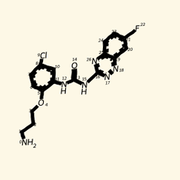 NCCCOc1ccc(Cl)cc1NC(=O)Nc1nnc2cc(F)ccc2n1